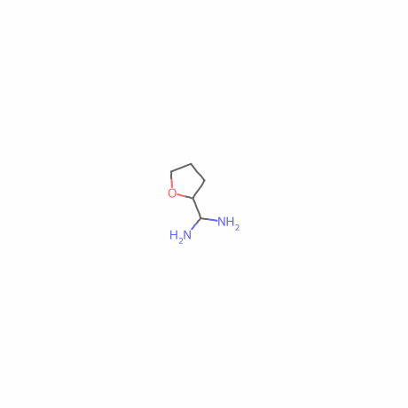 NC(N)C1CCCO1